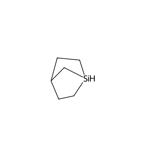 C1C[SiH]2CCC1C2